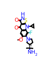 COc1cc2c(=O)c3c(=O)[nH]sc3n(C3CC3)c2c(F)c1N1CC[C@@H](C(C)(C)N)C1